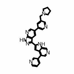 c1cncc(-c2cncc3[nH]c(-c4n[nH]c5ncc(-c6cncc(CN7CCCC7)c6)cc45)cc23)c1